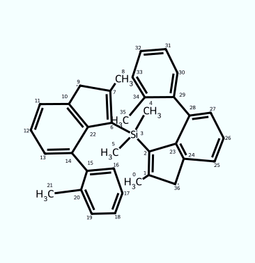 CC1=C([Si](C)(C)C2=C(C)[CH]c3cccc(-c4ccccc4C)c32)c2c(cccc2-c2ccccc2C)[CH]1